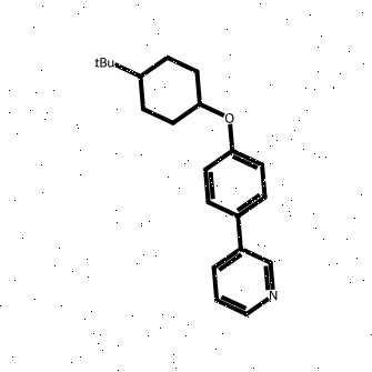 CC(C)(C)C1CCC(Oc2ccc(-c3cccnc3)cc2)CC1